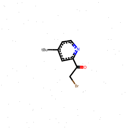 CC(C)(C)c1ccnc(C(=O)CBr)c1